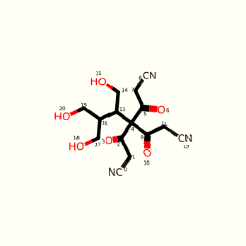 N#CCC(=O)C(C(=O)CC#N)(C(=O)CC#N)C(CO)C(CO)CO